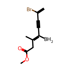 B/C(C#CC(=C)Br)=C(/C)CC(=O)OC